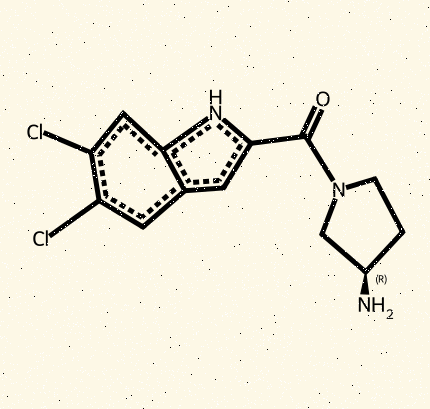 N[C@@H]1CCN(C(=O)c2cc3cc(Cl)c(Cl)cc3[nH]2)C1